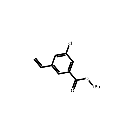 C=Cc1cc(Cl)cc(C(=O)OC(C)(C)C)c1